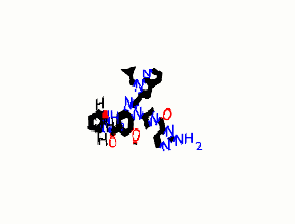 COc1cc(C(=O)N2C[C@H]3CC[C@@H]2[C@@H]3N)cc2nc(-c3cc4cccnc4n3CC3CC3)n(C3CN(C(=O)c4ccnc(N)n4)C3)c12